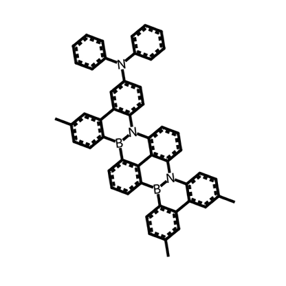 Cc1ccc2c(c1)-c1cc(C)ccc1N1B2c2cccc3c2-c2c1cccc2N1B3c2ccc(C)cc2-c2cc(N(c3ccccc3)c3ccccc3)ccc21